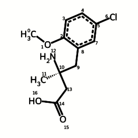 COc1ccc(Cl)cc1C[C@](C)(N)CC(=O)O